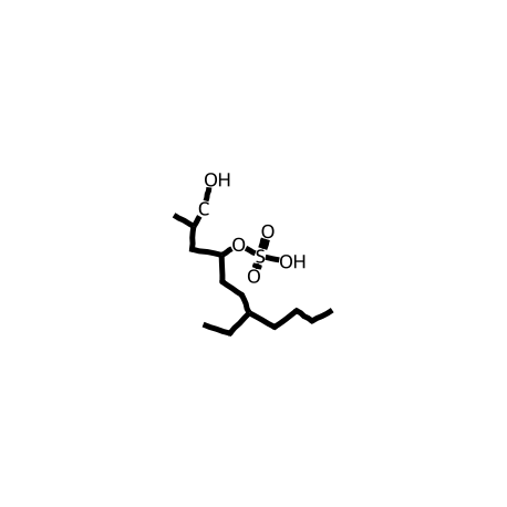 CCCCC(CC)CCC(CC(C)CO)OS(=O)(=O)O